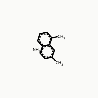 Cc1ccc2cccc(C)c2c1.N